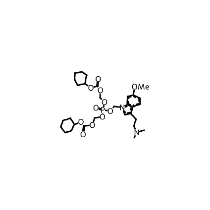 COc1ccc2c(CCN(C)C)cn(COP(=O)(OCOC(=O)OC3CCCCC3)OCOC(=O)OC3CCCCC3)c2c1